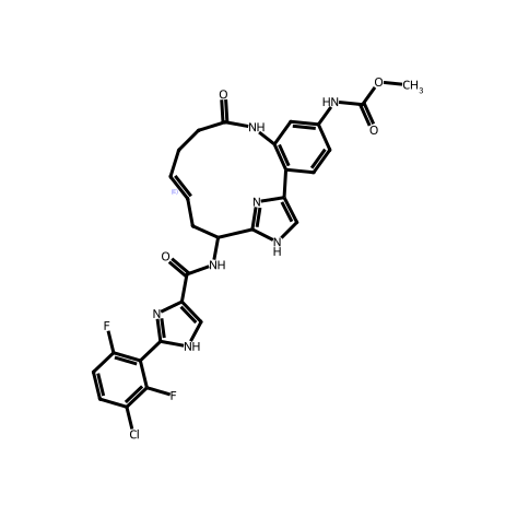 COC(=O)Nc1ccc2c(c1)NC(=O)CC/C=C/CC(NC(=O)c1c[nH]c(-c3c(F)ccc(Cl)c3F)n1)c1nc-2c[nH]1